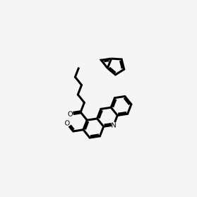 CCCCCC(=O)c1c(C=O)ccc2nc3ccccc3cc12.c1cc2cc-2c1